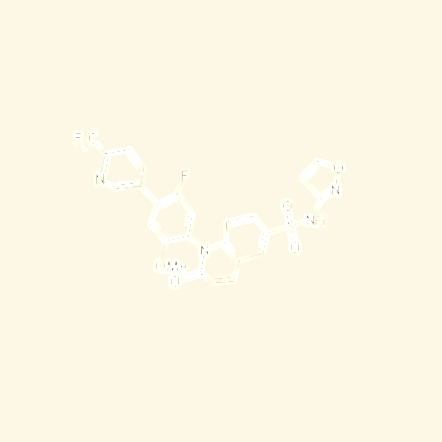 COc1cc(-c2ccc(C(F)(F)F)nc2)c(F)cc1-n1c(=O)ccc2cc(S(=O)(=O)Nc3ccon3)ccc21